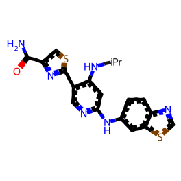 CC(C)Nc1cc(Nc2ccc3ncsc3c2)ncc1-c1nc(C(N)=O)cs1